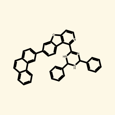 c1ccc(C2N=C(c3nccc4oc5cc(-c6ccc7ccc8ccccc8c7c6)ccc5c34)NC(c3ccccc3)N2)cc1